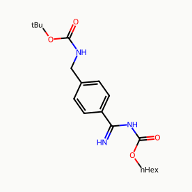 CCCCCCOC(=O)NC(=N)c1ccc(CNC(=O)OC(C)(C)C)cc1